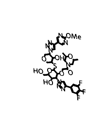 COc1ncc(-c2cn(C3COCC(SC4OC(CO)C(O)C(n5cc(-c6cc(F)c(F)c(F)c6)nn5)C4OCC(=O)N4CC(C)OC(C)C4)C3O)nn2)cn1